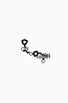 O=C1NNC(Cc2ccc(OCCc3coc(-c4ccccc4)n3)cc2)N1